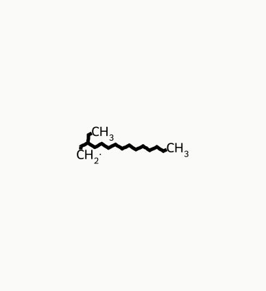 [CH2]CC(CC)CCCCCCCCCCCC